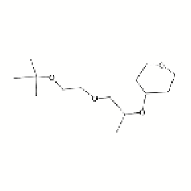 CC(COCCOC(C)(C)C)OC1CCOCC1